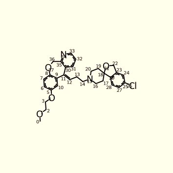 COCCOc1ccc2c(c1)/C(=C/CCN1CCC3(CC1)OCc1cc(Cl)ccc13)c1cccnc1CO2